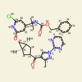 Cc1nn(-c2ncccn2)cc1C(=O)C1C[C@@H]2[C@H](C1)[C@H]2Oc1cc(C(C)(C)NC(=O)OCc2ccccc2)cc(Cl)n1